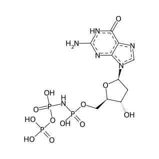 Nc1nc2c(ncn2[C@H]2C[C@H](O)[C@@H](COP(=O)(O)NP(=O)(O)OP(=O)(O)O)O2)c(=O)[nH]1